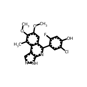 COc1cc2c(-c3cc(Cl)c(O)cc3F)nc3[nH]ncc3c2c(C)c1OC